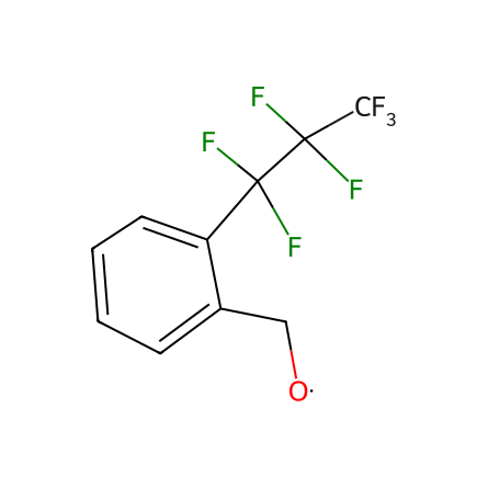 [O]Cc1ccccc1C(F)(F)C(F)(F)C(F)(F)F